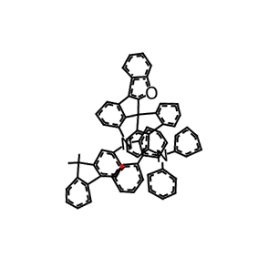 CC1(C)c2ccccc2-c2ccc(N(c3ccccc3-c3ccccc3)c3cccc4c3C3(c5ccccc5-c5c(N(c6ccccc6)c6ccccc6)cccc53)c3oc5ccccc5c3-4)cc21